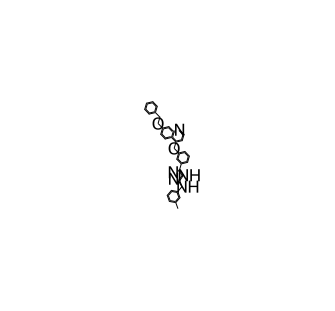 Cc1cccc(Nc2nnc(-c3cccc(Oc4ccnc5cc(OCc6ccccc6)ccc45)c3)[nH]2)c1